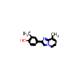 Cc1cc(-c2cn3cccc(C)c3n2)ccc1O